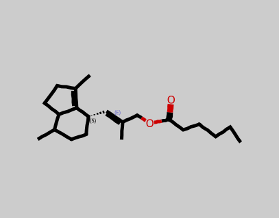 CCCCCC(=O)OC/C(C)=C/[C@@H]1CCC(C)C2CCC(C)=C21